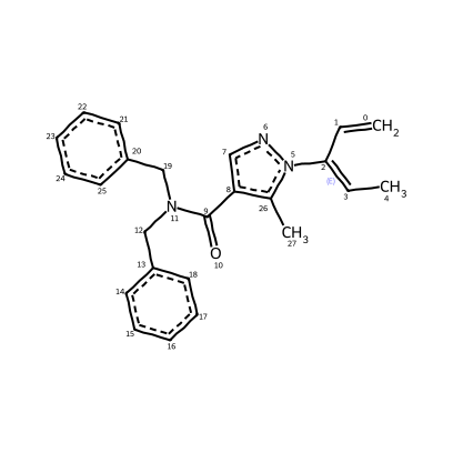 C=C/C(=C\C)n1ncc(C(=O)N(Cc2ccccc2)Cc2ccccc2)c1C